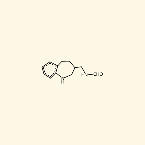 O=CNCC1CCc2ccccc2NC1